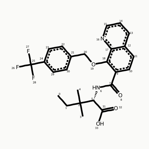 CCC(C)(C)[C@H](NC(=O)c1ccc2cccnc2c1OCc1ccc(C(F)(F)F)cc1)C(=O)O